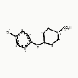 O=C(O)N1CCC(Oc2ccc(Cl)cn2)CC1